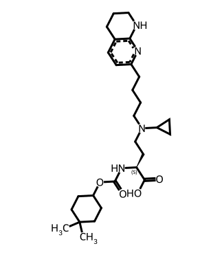 CC1(C)CCC(OC(=O)N[C@@H](CCN(CCCCc2ccc3c(n2)NCCC3)C2CC2)C(=O)O)CC1